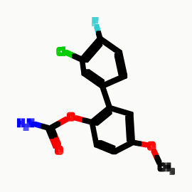 COc1ccc(OC(N)=O)c(-c2ccc(F)c(Cl)c2)c1